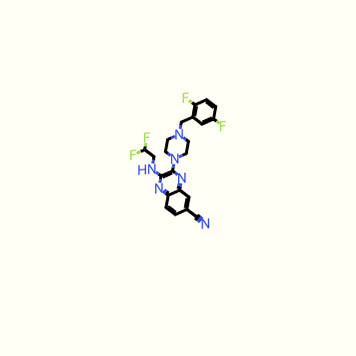 N#Cc1ccc2nc(NCC(F)F)c(N3CCN(Cc4cc(F)ccc4F)CC3)nc2c1